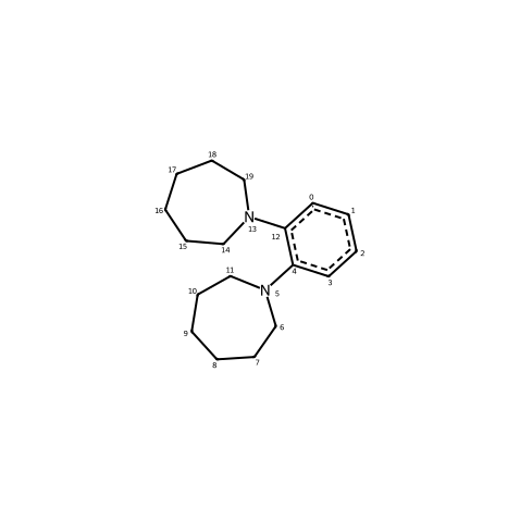 [c]1cccc(N2CCCCCC2)c1N1CCCCCC1